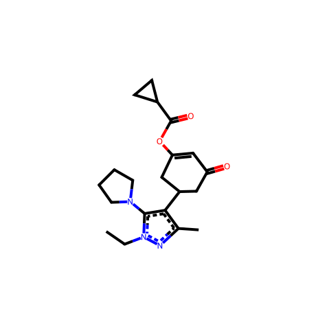 CCn1nc(C)c(C2CC(=O)C=C(OC(=O)C3CC3)C2)c1N1CCCC1